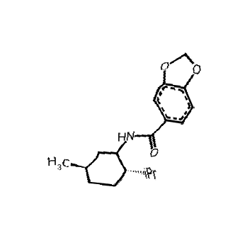 CC(C)[C@@H]1CC[C@@H](C)CC1NC(=O)c1ccc2c(c1)OCO2